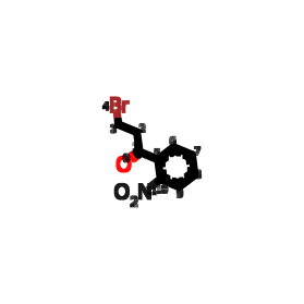 O=C(CCBr)c1ccccc1[N+](=O)[O-]